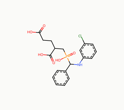 O=C(O)CCC(CP(=O)(O)C(Nc1cccc(Cl)c1)c1ccccc1)C(=O)O